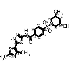 Cc1nc(C)c(-c2nnc(NC(=O)c3ccc(S(=O)(=O)N4C[C@H](C)C[C@H](C)C4)cc3)o2)s1